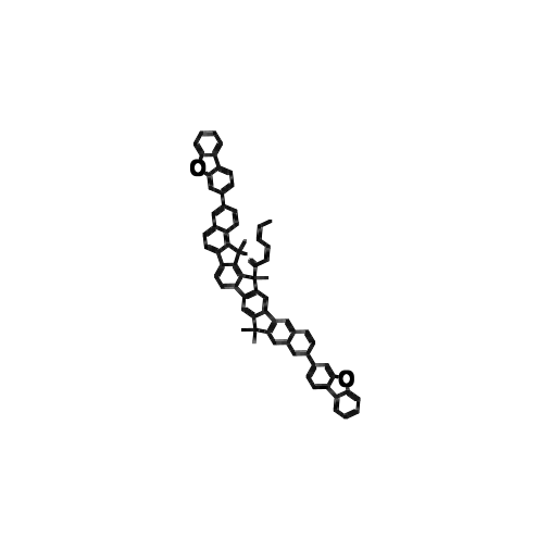 C=C(/C=C\C=C/C)C1(C)c2cc3c(cc2-c2ccc4c(c21)C(C)(C)c1c-4ccc2cc(-c4ccc5c(c4)oc4ccccc45)ccc12)C(C)(C)c1cc2cc(-c4ccc5c(c4)oc4ccccc45)ccc2cc1-3